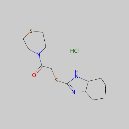 Cl.O=C(CSC1=NC2CCCCC2N1)N1CCSCC1